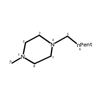 [CH2]N1CCN(CCCCCC)CC1